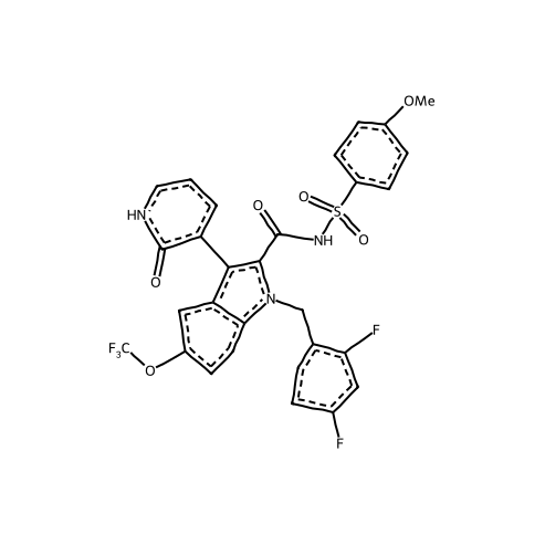 COc1ccc(S(=O)(=O)NC(=O)c2c(-c3ccc[nH]c3=O)c3cc(OC(F)(F)F)ccc3n2Cc2ccc(F)cc2F)cc1